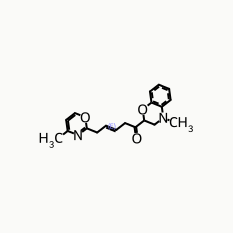 CC1=C=COC(C/C=C/CC(=O)C2CN(C)c3ccccc3O2)=N1